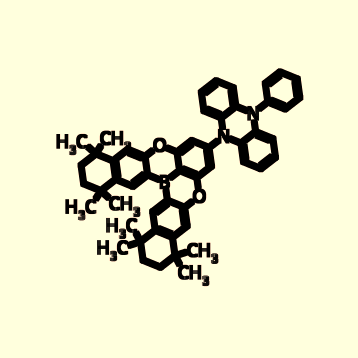 CC1(C)CCC(C)(C)c2cc3c(cc21)Oc1cc(N2c4ccccc4N(c4ccccc4)c4ccccc42)cc2c1B3c1cc3c(cc1O2)C(C)(C)CCC3(C)C